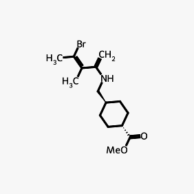 C=C(NC[C@H]1CC[C@H](C(=O)OC)CC1)/C(C)=C(/C)Br